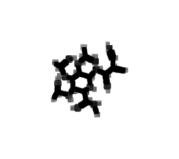 C=C(C#N)C(=O)OC1OC(C(=O)OC)C(OC(C)=O)C(OC(C)=O)C1OC(C)=O